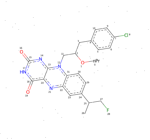 CCCOC(Cc1ccc(Cl)cc1)Cn1c2nc(=O)[nH]c(=O)c-2nc2cc(C(C)CF)ccc21